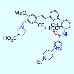 CCN1CCC(n2cc(C(=O)Nc3cccc(-c4cccc(C=Cc5cc(OC)c(CN6CCC(C(=O)O)C6)cc5C(F)(F)F)c4C)c3C)cn2)CC1